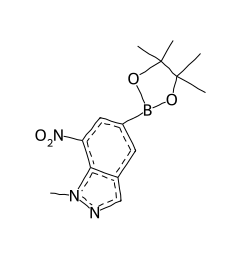 Cn1ncc2cc(B3OC(C)(C)C(C)(C)O3)cc([N+](=O)[O-])c21